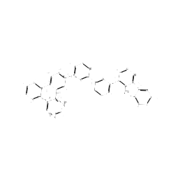 c1cc(-c2cccc(-c3cccc4c3sc3ccccc34)c2)cc(-c2ccc3c4ccccc4c4cncnc4c3c2)c1